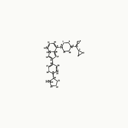 O=C(C1CC1)N1CCN(c2ccnn3cc(C4=CCC([C@H]5CCCN5)N=C4)cc23)CC1